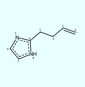 [CH]=CCCc1ncc[nH]1